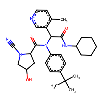 Cc1ccncc1C(C(=O)NC1CCCCC1)N(C(=O)C1CC(O)CN1C#N)c1ccc(C(C)(C)C)cc1